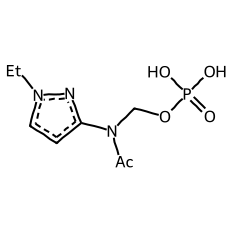 CCn1ccc(N(COP(=O)(O)O)C(C)=O)n1